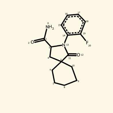 NC(=O)C1CC2(C[CH]CCC2)C(=O)N1c1ccccc1F